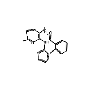 Cc1ccc(N)c(Nc2ccccc2-c2ccccc2C=O)n1